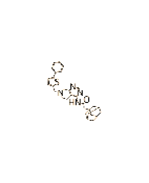 O=C(CC12CC3CC(CC(C3)C1)C2)Nc1ncnc2c1CCN(Cc1ccc(-c3ccccc3)s1)C2